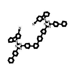 N#Cc1ccc2c(c1)c1ccccc1n2-c1nc(-c2ccc(-c3ccccc3)cc2)nc(-c2ccc(-c3cccc(-c4ccc(-c5ccc(-c6nc(-c7ccc(-c8ccccc8)cc7)nc(-n7c8ccccc8c8ccc(C#N)cc87)n6)cc5)cc4)c3)cc2)n1